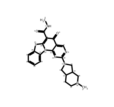 CNC(=O)c1c(=O)c2cnc(N3CC4CCN(C)CC4C3)nc2n2c1sc1ccccc12